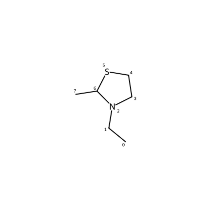 CCN1CCSC1C